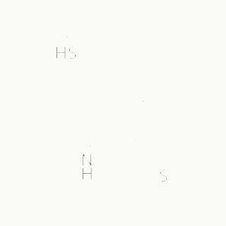 S=C1CC(S)CN1